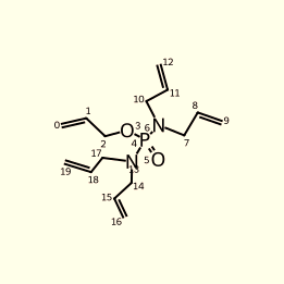 C=CCOP(=O)(N(CC=C)CC=C)N(CC=C)CC=C